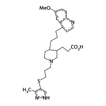 COc1ccc2nccc(CCCC3CCN(CCCSc4c[nH]nc4C)CC3CCC(=O)O)c2c1